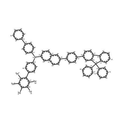 [2H]c1c([2H])c([2H])c(-c2ccc(N(c3ccc(-c4ccccc4)cc3)c3ccc4cc(-c5ccc(-c6ccc7c(c6)C(c6ccccc6)(c6ccccc6)c6ccccc6-7)cc5)ccc4c3)cc2)c([2H])c1[2H]